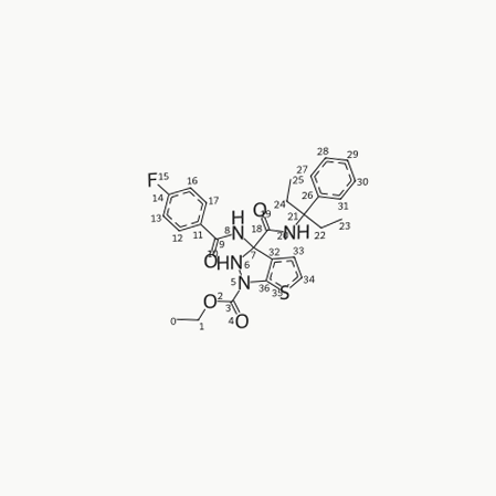 CCOC(=O)N1NC(NC(=O)c2ccc(F)cc2)(C(=O)NC(CC)(CC)c2ccccc2)c2ccsc21